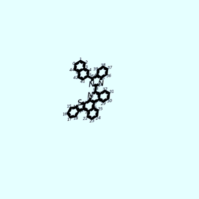 c1ccc2cc(-c3nc(-c4nc5c6sc7ccccc7c6c6ccccc6c5c5ccccc45)nc4ccccc34)ccc2c1